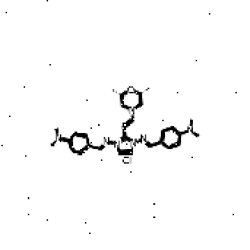 C[C@@H]1CN(/C=C/c2n(/N=C/c3ccc(N(C)C)cc3)cc[n+]2/N=C/c2ccc(N(C)C)cc2)C[C@H](C)O1.[Cl-]